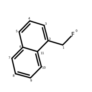 FCc1cccc2ccccc12